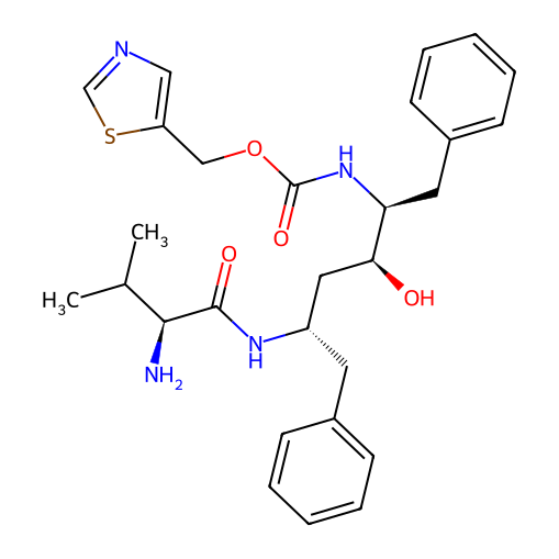 CC(C)[C@H](N)C(=O)N[C@@H](Cc1ccccc1)C[C@H](O)[C@H](Cc1ccccc1)NC(=O)OCc1cncs1